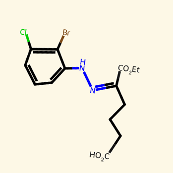 CCOC(=O)/C(CCCC(=O)O)=N\Nc1cccc(Cl)c1Br